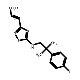 CCOC(=O)/C=C/c1nsc(NCC(C)(C)c2ccc(F)cc2)n1